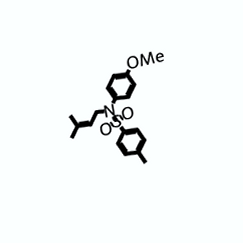 COc1ccc(N(CC=C(C)C)S(=O)(=O)c2ccc(C)cc2)cc1